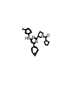 O=C(C1CCCC1)N1CCCC(c2nc(Nc3cccc(I)c3)cc(C3=CC=C4CC4C=C3)n2)C1